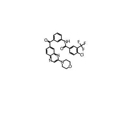 O=C(Nc1cccc(C(=O)c2ccc3ncc(N4CCOCC4)nc3c2)c1)c1ccc(Cl)c(C(F)(F)F)c1